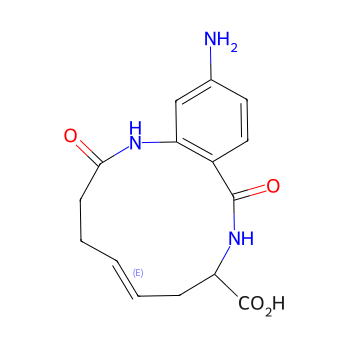 Nc1ccc2c(c1)NC(=O)CC/C=C/CC(C(=O)O)NC2=O